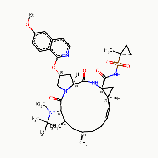 CCOc1ccc2c(O[C@@H]3C[C@H]4C(=O)N[C@]5(C(=O)NS(=O)(=O)C6(C)CC6)C[C@H]5C=CCC[C@@H](C)C[C@@H](C)[C@H](N(C(=O)O)C(C)(C)C(F)(F)F)C(=O)N4C3)nccc2c1